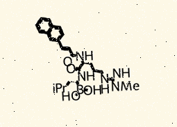 CNC(=N)NCCC[C@H](NC(=O)/C=C/c1ccc2ccccc2c1)C(=O)N[C@@H](CC(C)C)B(O)O